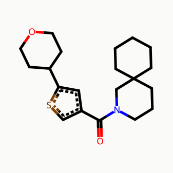 O=C(c1csc(C2CCOCC2)c1)N1CCCC2(CCCCC2)C1